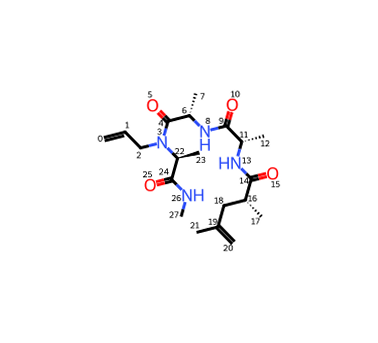 C=CCN(C(=O)[C@H](C)NC(=O)[C@H](C)NC(=O)[C@H](C)CC(=C)C)[C@@H](C)C(=O)NC